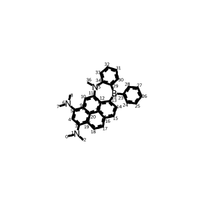 CN(C)c1cc(N(C)C)c2cc3c4c(ccc5ccc1c2c54)B(c1ccccc1)c1ccccc1N3C